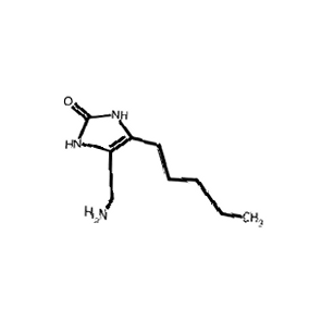 CCCCCc1[nH]c(=O)[nH]c1CN